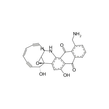 NCc1cccc2c1C(=O)c1c3c(cc(O)c1C2=O)[C@@]12OC1[C@H](C#C/C=C\C#C[C@H]2O)N3